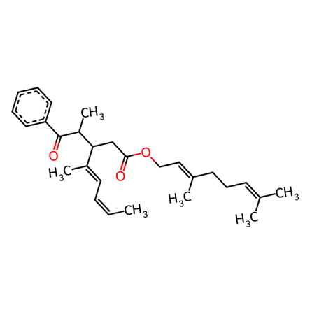 C/C=C\C=C(/C)C(CC(=O)OC/C=C(\C)CCC=C(C)C)C(C)C(=O)c1ccccc1